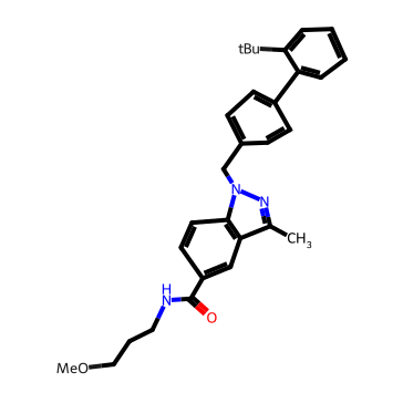 COCCCNC(=O)c1ccc2c(c1)c(C)nn2Cc1ccc(-c2ccccc2C(C)(C)C)cc1